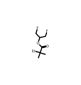 CCC(C)(C)C(=O)OC(CF)CF